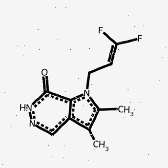 Cc1c(C)n(CC=C(F)F)c2c(=O)[nH]ncc12